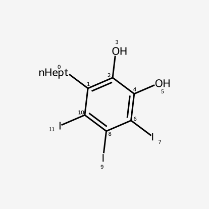 CCCCCCCc1c(O)c(O)c(I)c(I)c1I